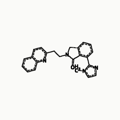 Cn1ccnc1-c1cccc2c1C(=O)N(CCc1ccc3ccccc3n1)C2